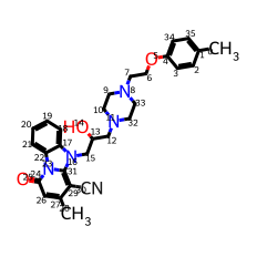 Cc1ccc(OCCN2CCN(CC(O)Cn3c4ccccc4n4c(=O)cc(C)c(C#N)c34)CC2)cc1